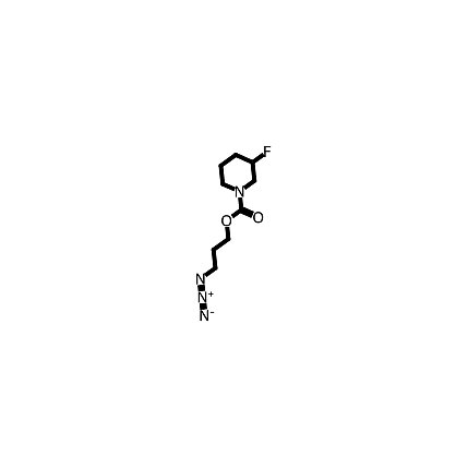 [N-]=[N+]=NCCCOC(=O)N1CCCC(F)C1